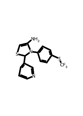 NC1=CSC(c2cccnc2)N1c1ccc(SC(F)(F)F)cc1